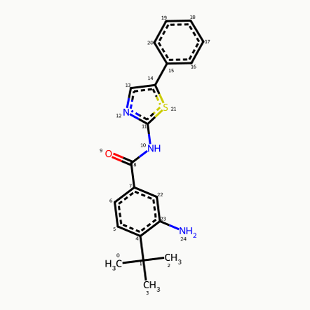 CC(C)(C)c1ccc(C(=O)Nc2ncc(-c3ccccc3)s2)cc1N